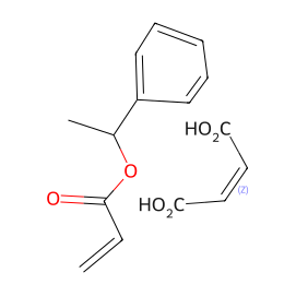 C=CC(=O)OC(C)c1ccccc1.O=C(O)/C=C\C(=O)O